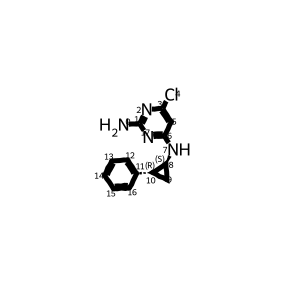 Nc1nc(Cl)cc(N[C@H]2C[C@@H]2c2ccccc2)n1